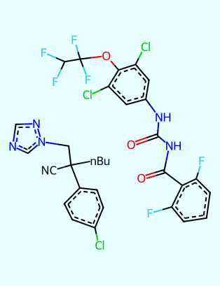 CCCCC(C#N)(Cn1cncn1)c1ccc(Cl)cc1.O=C(NC(=O)c1c(F)cccc1F)Nc1cc(Cl)c(OC(F)(F)C(F)F)c(Cl)c1